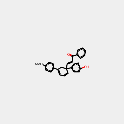 COc1ccc(C2=CC=CC(C=CC(=O)c3ccccc3)(c3ccc(O)cc3)C2)cc1